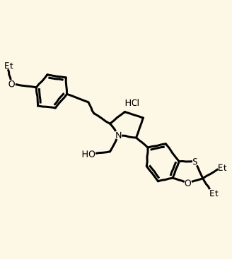 CCOc1ccc(CCC2CCC(c3ccc4c(c3)SC(CC)(CC)O4)N2CO)cc1.Cl